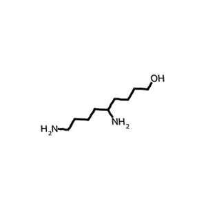 NCCCCC(N)CCCCO